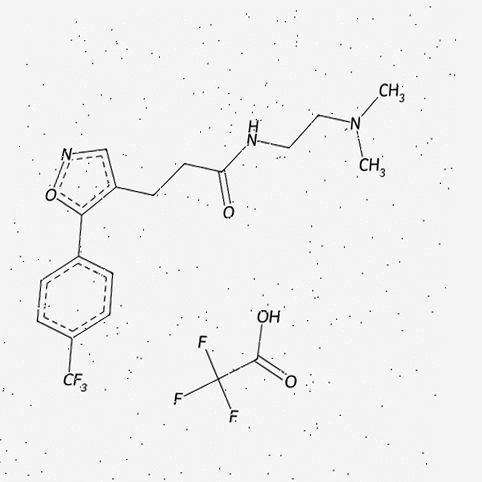 CN(C)CCNC(=O)CCc1cnoc1-c1ccc(C(F)(F)F)cc1.O=C(O)C(F)(F)F